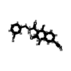 Cc1c(C(=O)NCc2cccc(F)c2)c(=O)n(C)c2cc(C#N)ccc12